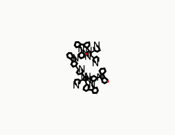 c1cncc(-c2nnn(-c3cccc4c5ccccc5n(-c5cccc(-n6c7ccccc7c7ccc(-c8ccc(-n9nnc(-c%10cccc%11c%12ccccc%12n(-c%12cccc(-n%13c%14ccccc%14c%14ccccc%14%13)c%12)c%10%11)c9-c9cccnc9)cn8)cc76)c5)c34)c2-c2cccnc2)c1